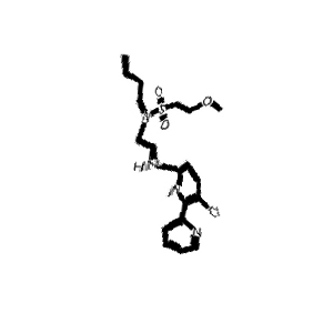 CCCCN(CCNc1ccc(Cl)c(-c2ccccn2)n1)S(=O)(=O)CCOC